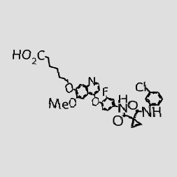 COc1cc2c(Oc3ccc(NC(=O)C4(C(=O)Nc5cccc(Cl)c5)CC4)cc3F)ccnc2cc1OCCCCCC(=O)O